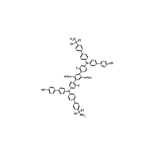 CCCCCCc1cc(-c2ccc(N(c3ccc(-c4ccc(CCC)cc4)cc3)c3ccc(-c4ccc(C(N)(CC)C(C)C)cc4)cc3)cc2F)c(CCCCCC)cc1-c1ccc(N(c2ccc(-c3ccc(CCC)cc3)cc2)c2ccc(-c3ccc(C(N)(CC)CC)cc3)cc2)cc1F